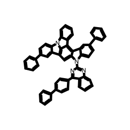 c1ccc(-c2ccc(-c3nc(-n4c5ccc(-c6ccccc6)cc5c5c6c7ccccc7n7c8ccc(-c9ccccc9)cc8c(cc54)c67)nc4ccccc34)cc2)cc1